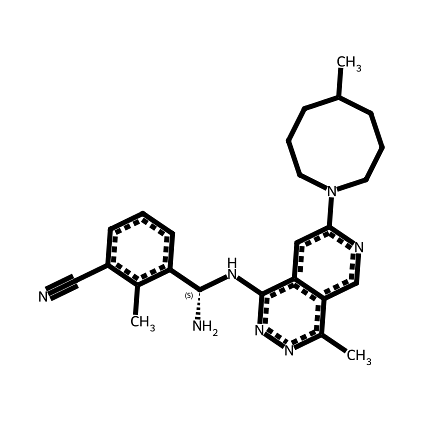 Cc1c(C#N)cccc1[C@@H](N)Nc1nnc(C)c2cnc(N3CCCC(C)CCC3)cc12